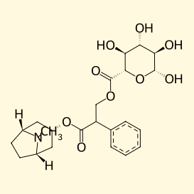 CN1[C@@H]2CC[C@H]1C[C@@H](OC(=O)C(COC(=O)[C@H]1O[C@@H](O)[C@H](O)[C@@H](O)[C@@H]1O)c1ccccc1)C2